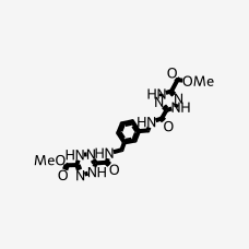 COC(=O)C1=NNC(C(=O)NCc2cccc(CNC(=O)C3=NNC(C(=O)OC)=NN3)c2)=NN1